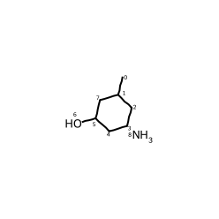 CC1CCCC(O)C1.N